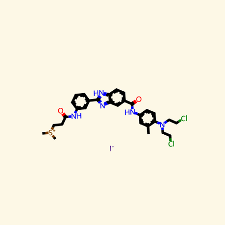 Cc1cc(NC(=O)c2ccc3[nH]c(-c4cccc(NC(=O)CC[S+](C)C)c4)nc3c2)ccc1N(CCCl)CCCl.[I-]